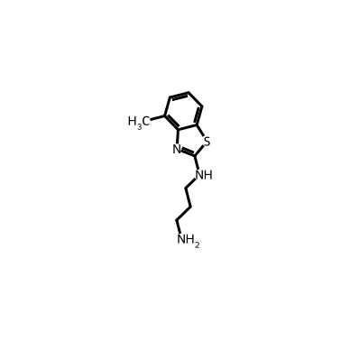 Cc1cccc2sc(NCCCN)nc12